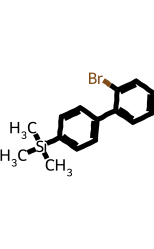 C[Si](C)(C)c1ccc(-c2ccccc2Br)cc1